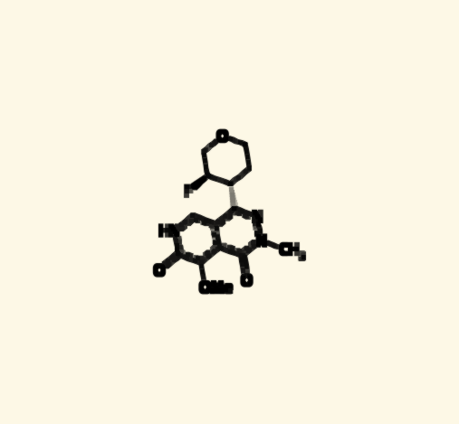 COc1c(=O)[nH]cc2c([C@H]3CCOC[C@@H]3F)nn(C)c(=O)c12